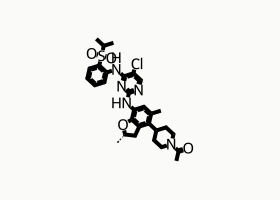 CC(=O)N1CCC(c2c(C)cc(Nc3ncc(Cl)c(Nc4ccccc4S(=O)(=O)C(C)C)n3)c3c2C[C@H](C)O3)CC1